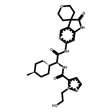 C[C@H]1CC[C@H]([C@H](NC(=O)c2ccnn2CCO)C(=O)Nc2cc3c(cn2)C2(CCOCC2)C(=O)N3)CC1